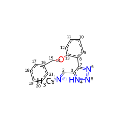 C/N=C/c1[nH]nnc1-c1ccccc1OCc1ccccc1